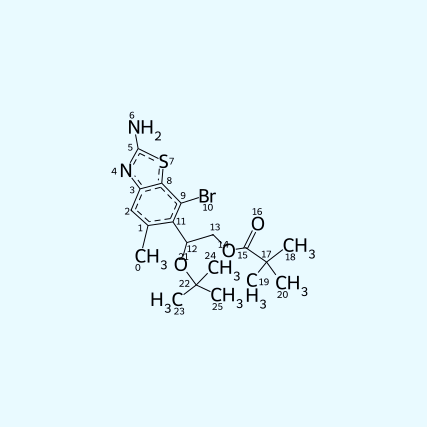 Cc1cc2nc(N)sc2c(Br)c1C(COC(=O)C(C)(C)C)OC(C)(C)C